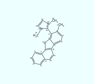 Cc1ccc2c(oc3c4ccccc4ccc23)c1-c1n(C)cc[n+]1C